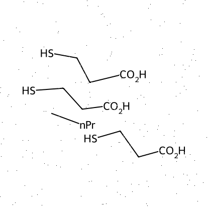 CCCC.O=C(O)CCS.O=C(O)CCS.O=C(O)CCS